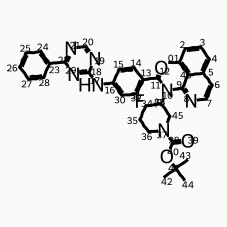 Cc1cccc2ccnc(N(C(=O)c3ccc(Nc4ncnc(-c5ccccc5)n4)cc3F)[C@@H]3CCCN(C(=O)OC(C)(C)C)C3)c12